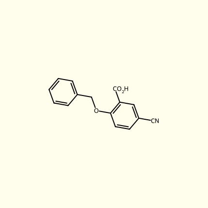 N#Cc1ccc(OCc2ccccc2)c(C(=O)O)c1